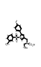 CC(C)(C)CN(Cc1cc(-c2ccc(F)cc2)n(S(=O)(=O)c2cccc(Cl)c2)c1)C(=O)O